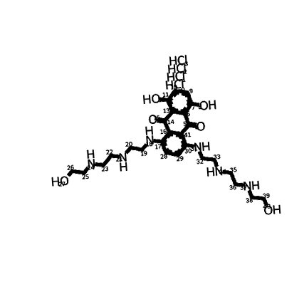 Cl.Cl.Cl.Cl.O=C1c2c(O)ccc(O)c2C(=O)c2c(NCCNCCNCCO)ccc(NCCNCCNCCO)c21